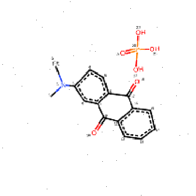 CCN(C)c1ccc2c(c1)C(=O)c1ccccc1C2=O.O=P(O)(O)O